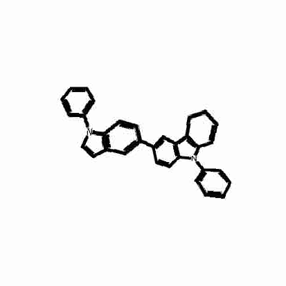 C1=Cc2c(c3cc(-c4ccc5c(ccn5-c5ccccc5)c4)ccc3n2-c2ccccc2)CC1